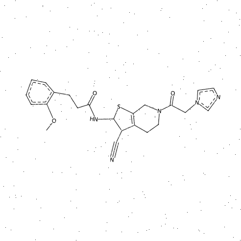 COc1ccccc1CCC(=O)NC1SC2=C(CCN(C(=O)Cn3ccnc3)C2)C1C#N